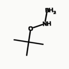 BNOC(C)(C)C